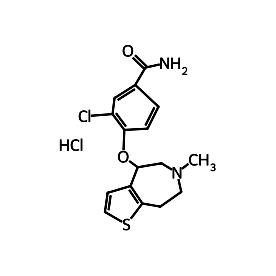 CN1CCc2sccc2C(Oc2ccc(C(N)=O)cc2Cl)C1.Cl